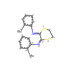 CC(C)(C)c1ccccc1/N=C1\SCCS\C1=N\c1ccccc1C(C)(C)C